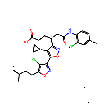 Cc1ccc(NC(=O)C[C@H](CCC(=O)O)c2noc(-c3noc(CCC(C)C)c3Cl)c2C2CC2)c(Cl)c1